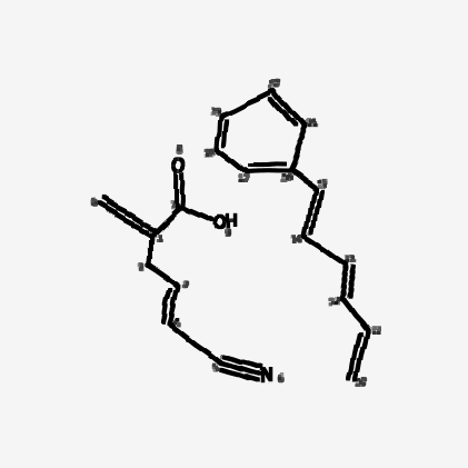 C=C(CC=CC#N)C(=O)O.C=CC=CC=Cc1ccccc1